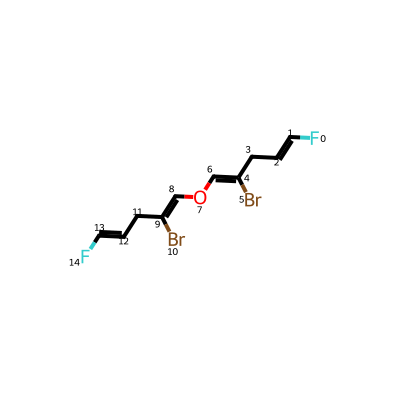 FC=CCC(Br)=COC=C(Br)CC=CF